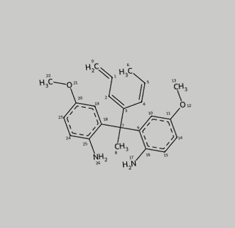 C=C/C=C(\C=C/C)C(C)(c1cc(OC)ccc1N)c1cc(OC)ccc1N